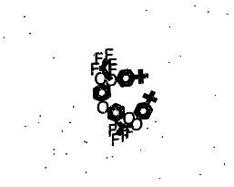 CC(C)(C)c1ccc(OC(F)(Oc2ccc(Oc3ccc(OC(F)(Oc4ccc(C(C)(C)C)cc4)C(F)C(F)(F)F)cc3)cc2)C(F)C(F)(F)F)cc1